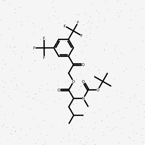 CC(C)CC(C(=O)OCC(=O)c1cc(C(F)(F)F)cc(C(F)(F)F)c1)N(C)C(=O)OC(C)(C)C